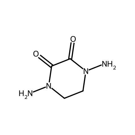 NN1CCN(N)C(=O)C1=O